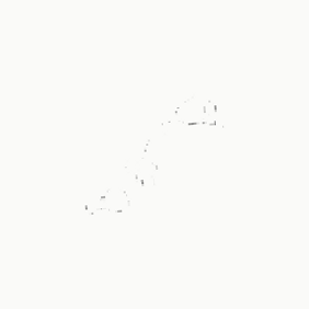 CCC(COCC1COC(C2CCC3OC3C2)O1)CC1OC1C